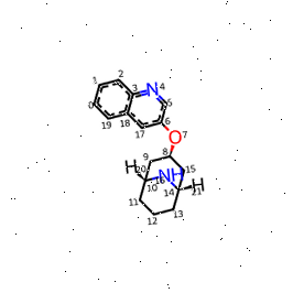 c1ccc2ncc(O[C@@H]3C[C@H]4CCC[C@@H](C3)N4)cc2c1